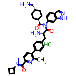 Cc1nc(C(=O)NC2CCC2)ccc1-c1ccc(C[C@H](N)C(=O)N(c2ccc3cn[nH]c3c2)C(=O)[C@H]2CC[C@H](CN)CC2)cc1.Cl